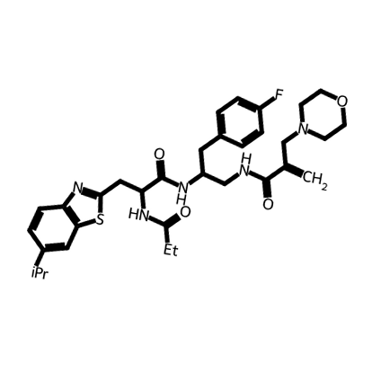 C=C(CN1CCOCC1)C(=O)NCC(Cc1ccc(F)cc1)NC(=O)C(Cc1nc2ccc(C(C)C)cc2s1)NC(=O)CC